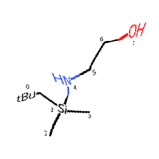 CC(C)(C)[Si](C)(C)NCCO